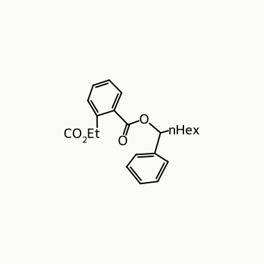 CCCCCCC(OC(=O)c1ccccc1C(=O)OCC)c1ccccc1